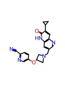 N#Cc1ccc(OC2CN(Cc3cnc4cc(C5CC5)c(=O)[nH]c4c3)C2)cn1